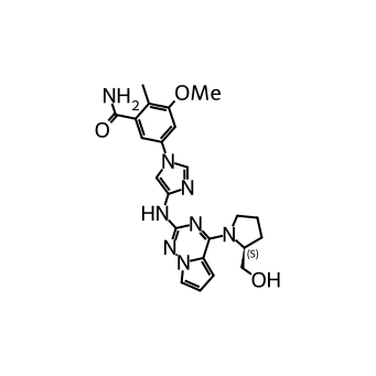 COc1cc(-n2cnc(Nc3nc(N4CCC[C@H]4CO)c4cccn4n3)c2)cc(C(N)=O)c1C